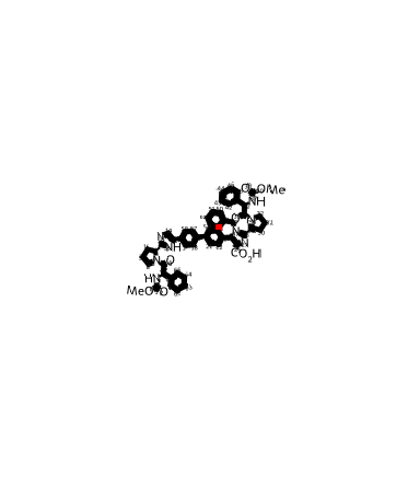 COC(=O)N[C@@H](C(=O)N1CCC[C@H]1c1ncc(-c2ccc(-c3ccc(-c4c(C(=O)O)nc([C@@H]5CCCN5C(=O)[C@H](NC(=O)OC)c5ccccc5)n4Cc4ccccc4)cc3)cc2)[nH]1)c1ccccc1